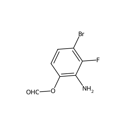 Nc1c(OC=O)ccc(Br)c1F